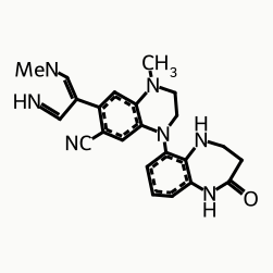 CN/C=C(\C=N)c1cc2c(cc1C#N)N(c1cccc3c1NCCC(=O)N3)CCN2C